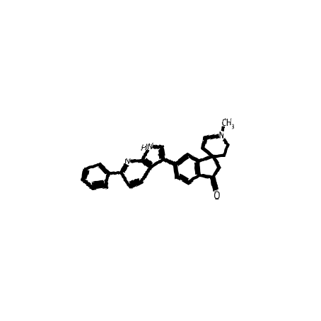 CN1CCC2(CC1)CC(=O)c1ccc(-c3c[nH]c4nc(-c5ccccc5)ccc34)cc12